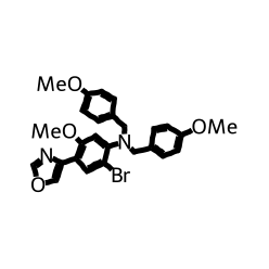 COc1ccc(CN(Cc2ccc(OC)cc2)c2cc(OC)c(-c3cocn3)cc2Br)cc1